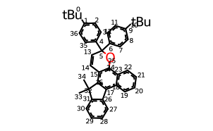 CC(C)(C)c1ccc(C2(c3ccc(C(C)(C)C)cc3)C=Cc3c4c(c5ccccc5c3O2)-c2ccccc2C4(C)C)cc1